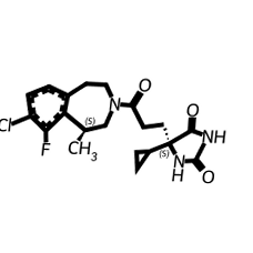 C[C@@H]1CN(C(=O)CC[C@@]2(C3CC3)NC(=O)NC2=O)CCc2ccc(Cl)c(F)c21